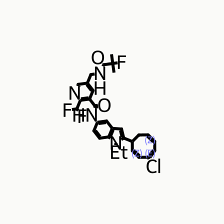 CCn1c(C2\C=C/C(Cl)=C\C=C/C2)cc2cc(NC(=O)c3cc(CNC(=O)C(C)(C)F)cnc3C(F)F)ccc21